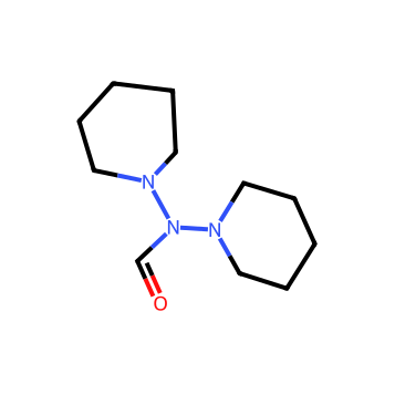 O=CN(N1CCCCC1)N1CCCCC1